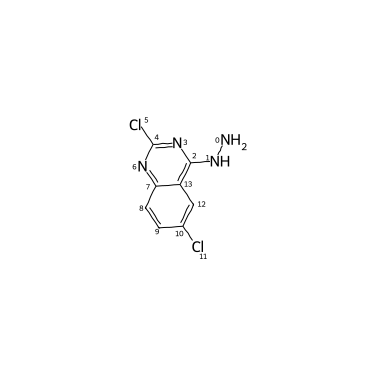 NNc1nc(Cl)nc2ccc(Cl)cc12